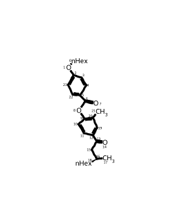 CCCCCCOc1ccc(C(=O)Oc2ccc(C(=O)C[C@@H](C)CCCCCC)cc2C)cc1